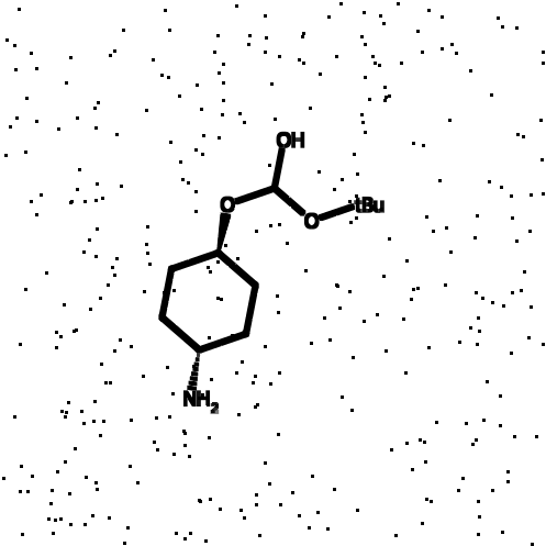 CC(C)(C)OC(O)O[C@H]1CC[C@H](N)CC1